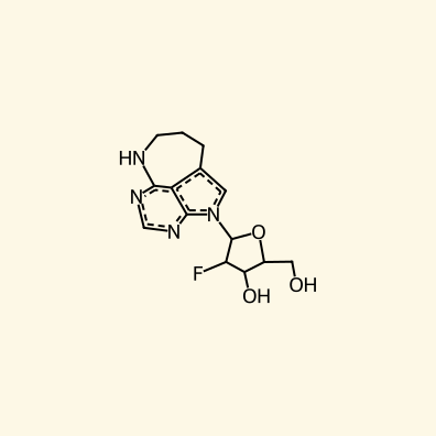 OCC1OC(n2cc3c4c(ncnc42)NCCC3)C(F)C1O